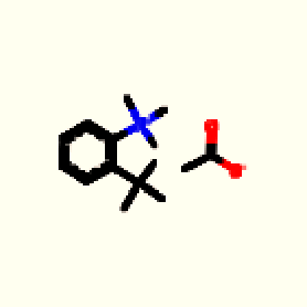 CC(=O)[O-].CC(C)(C)c1ccccc1[N+](C)(C)C